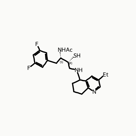 CCc1cnc2c(c1)C(NC[C@@H](S)[C@H](Cc1cc(F)cc(F)c1)NC(C)=O)CCC2